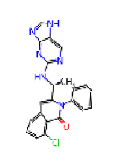 C[C@H](Nc1ncc2[nH]cnc2n1)c1cc2cccc(Cl)c2c(=O)n1-c1ccccc1